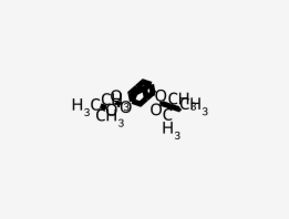 CCC(C)(C)C(=O)OC1C2CC3CC1CC(OC(=O)OC(C)(C)C)(C3)C2